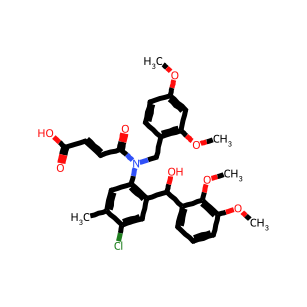 COc1ccc(CN(C(=O)C=CC(=O)O)c2cc(C)c(Cl)cc2C(O)c2cccc(OC)c2OC)c(OC)c1